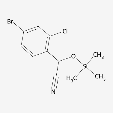 C[Si](C)(C)OC(C#N)c1ccc(Br)cc1Cl